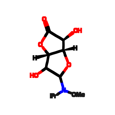 CON(C(C)C)C1O[C@@H]2[C@H](O)C(=O)O[C@H]2C1O